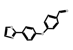 O=Cc1ccc(Oc2ccc(-c3ncco3)cc2)cc1